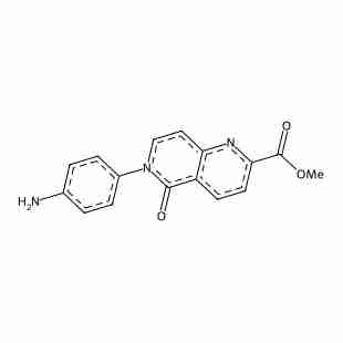 COC(=O)c1ccc2c(=O)n(-c3ccc(N)cc3)ccc2n1